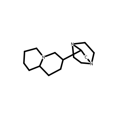 C1CCN2CC(C3CN4CCN3CC4)CCC2C1